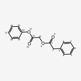 O=C(Cc1ccccc1)OCC(=O)Oc1ccccc1